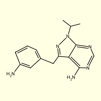 CC(C)n1nc(Cc2cccc(N)c2)c2c(N)ncnc21